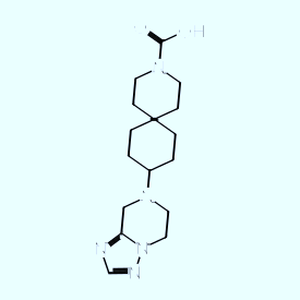 O=C(O)N1CCC2(CCC(N3CCn4ncnc4C3)CC2)CC1